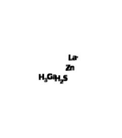 S.[GaH3].[La].[Zn]